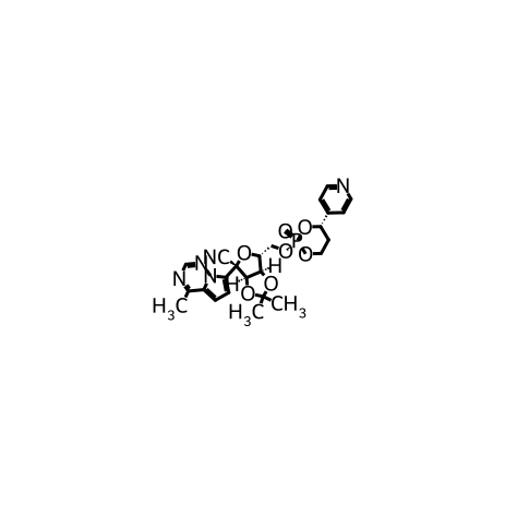 Cc1ncnn2c([C@]3(C#N)O[C@H](CO[P@@]4(=O)OCC[C@@H](c5ccncc5)O4)[C@H]4OC(C)(C)O[C@H]43)ccc12